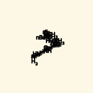 CCCCN1/C(=C/C=C/C=C/C2=[N+](CCCCCC(=O)NCCCCNCCCN)c3ccccc3C2(C)C)C(C)(C)c2ccccc21